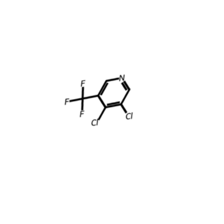 FC(F)(F)c1cncc(Cl)c1Cl